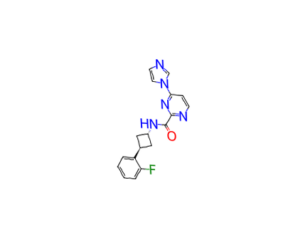 O=C(N[C@H]1C[C@H](c2ccccc2F)C1)c1nccc(-n2ccnc2)n1